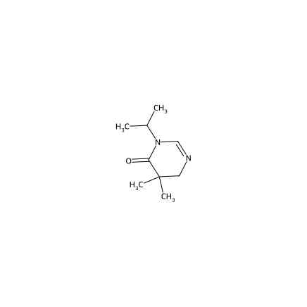 CC(C)N1C=NCC(C)(C)C1=O